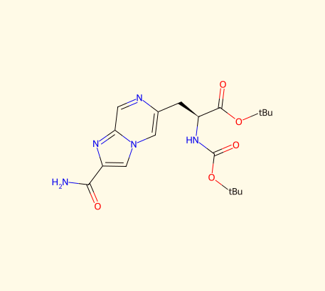 CC(C)(C)OC(=O)N[C@@H](Cc1cn2cc(C(N)=O)nc2cn1)C(=O)OC(C)(C)C